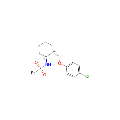 CCS(=O)(=O)N[C@H]1CCCC[C@@H]1COc1ccc(Cl)cc1